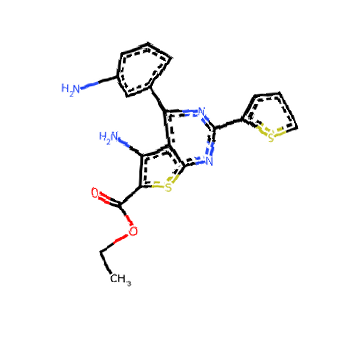 CCOC(=O)c1sc2nc(-c3cccs3)nc(-c3cccc(N)c3)c2c1N